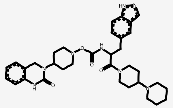 O=C(NC(Cc1ccc2[nH]ncc2c1)C(=O)N1CCC(N2CCCCC2)CC1)ON1CCC(N2Cc3ccccc3NC2=O)CC1